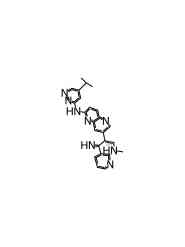 CN/C=C(\C(=N)c1cccnc1)c1cnc2ccc(Nc3cc(C(C)C)cnn3)nc2c1